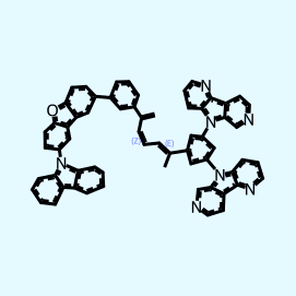 C=C(/C=C\C=C(/C)c1cc(-n2c3cnccc3c3ncccc32)cc(-n2c3cnccc3c3ncccc32)c1)c1cccc(-c2ccc3oc4ccc(-n5c6ccccc6c6ccccc65)cc4c3c2)c1